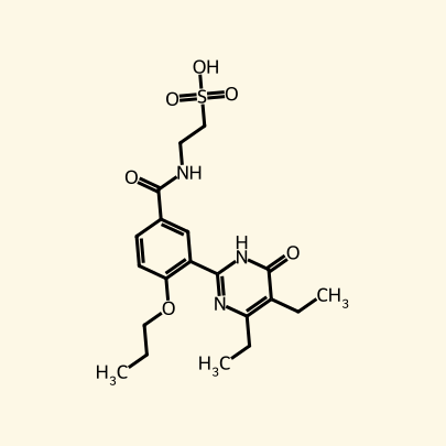 CCCOc1ccc(C(=O)NCCS(=O)(=O)O)cc1-c1nc(CC)c(CC)c(=O)[nH]1